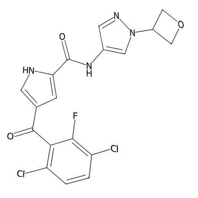 O=C(Nc1cnn(C2COC2)c1)c1cc(C(=O)c2c(Cl)ccc(Cl)c2F)c[nH]1